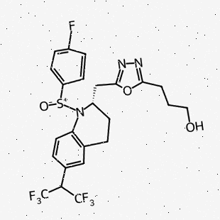 [O-][S+](c1ccc(F)cc1)N1c2ccc(C(C(F)(F)F)C(F)(F)F)cc2CC[C@H]1Cc1nnc(CCCO)o1